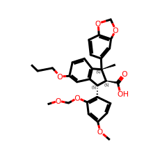 CCCOc1ccc2c(c1)[C@@H](c1ccc(OC)cc1OCOC)[C@H](C(=O)O)[C@@]2(C)c1ccc2c(c1)OCO2